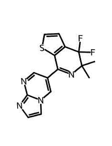 CC1(C)N=C(c2cnc3nccn3c2)c2sccc2C1(F)F